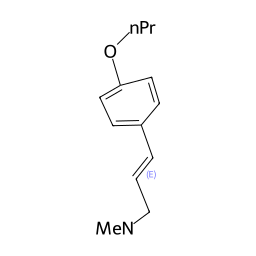 CCCOc1ccc(/C=C/CNC)cc1